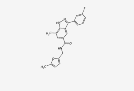 Cc1ccc(CNC(=O)c2cc(C)c3[nH]nc(-c4cccc(F)c4)c3c2)o1